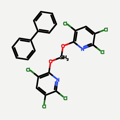 Clc1cc(Cl)c(O[SiH2]Oc2nc(Cl)c(Cl)cc2Cl)nc1Cl.c1ccc(-c2ccccc2)cc1